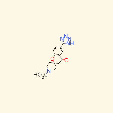 O=C1CC2(CCN(C(=O)O)CC2)Oc2ccc(-c3nnn[nH]3)cc21